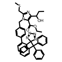 CCOC(=O)c1c(C(O)CC)nc(CSC)n1Cc1ccc(-c2ccccc2C2(C(c3ccccc3)(c3ccccc3)c3ccccc3)N=NN=N2)cc1